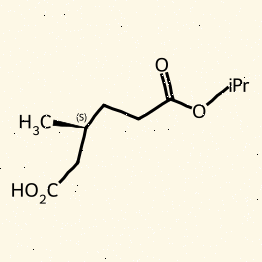 CC(C)OC(=O)CC[C@H](C)CC(=O)O